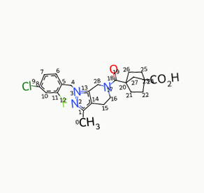 Cc1nn(Cc2ccc(Cl)cc2F)c2c1CCN(C(=O)C13CCC(C(=O)O)(CC1)C3)C2